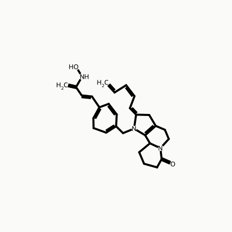 C=C/C=C\C=C1/CC2=C(C3CCCC(=O)N3CC2)N1CC1=CCC=C(/C=C/C(=C)NO)C=C1